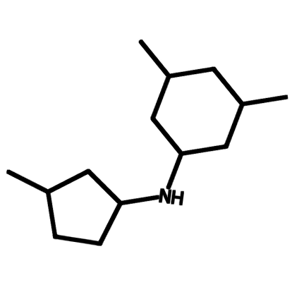 CC1CCC(NC2CC(C)CC(C)C2)C1